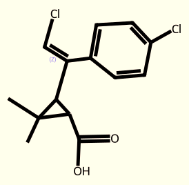 CC1(C)C(C(=O)O)C1/C(=C/Cl)c1ccc(Cl)cc1